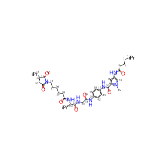 CC(C)CCCC(=O)Nc1cc(C(=O)Nc2ccc(NC(=O)CNC(=O)C(NC(=O)CCCCCN3C(=O)CC(C(C)C)C3=O)C(C)C)cc2)n(C)c1